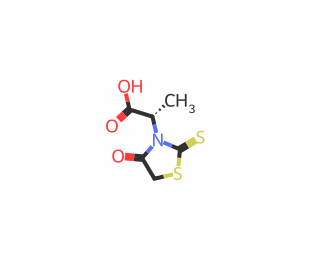 C[C@@H](C(=O)O)N1C(=O)CSC1=S